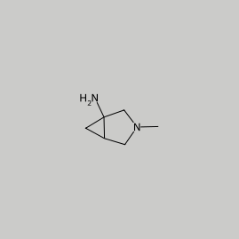 CN1CC2CC2(N)C1